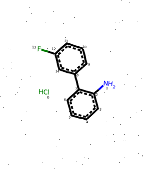 Cl.Nc1ccccc1-c1cccc(F)c1